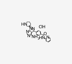 Cl.Nc1ncnc2c1c(-c1ccc(C(=O)Nc3ccccn3)cc1)nn2[C@@H]1CCCNC1